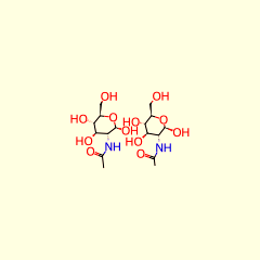 CC(=O)N[C@@H]1[C@@H](O)[C@H](O)[C@@H](CO)O[C@H]1O.CC(=O)N[C@@H]1[C@@H](O)[C@H](O)[C@@H](CO)O[C@H]1O